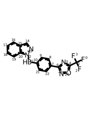 FC(F)(F)c1nc(-c2ccc(Bn3ncc4ccccc43)cc2)no1